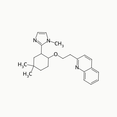 Cn1ccnc1C1CC(C)(C)CCC1OCCc1ccc2ccccc2n1